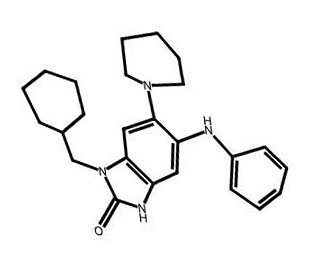 O=c1[nH]c2cc(Nc3ccccc3)c(N3CCCCC3)cc2n1CC1CCCCC1